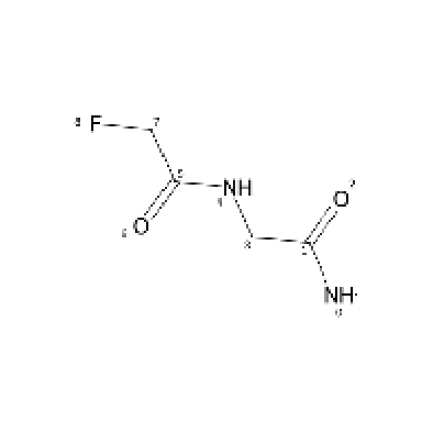 [NH]C(=O)CNC(=O)CF